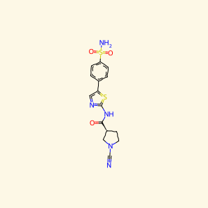 N#CN1CC[C@H](C(=O)Nc2ncc(-c3ccc(S(N)(=O)=O)cc3)s2)C1